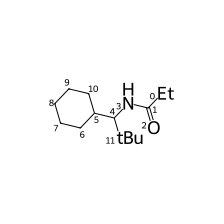 CCC(=O)NC(C1CCCCC1)C(C)(C)C